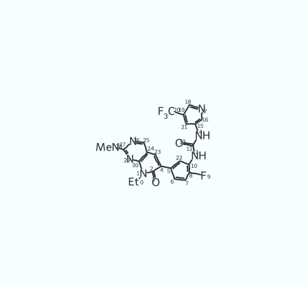 CCn1c(=O)c(-c2ccc(F)c(NC(=O)Nc3cncc(C(F)(F)F)c3)c2)cc2cnc(NC)nc21